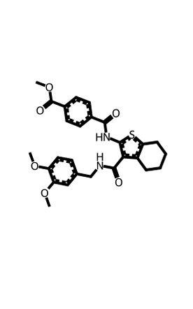 COC(=O)c1ccc(C(=O)Nc2sc3c(c2C(=O)NCc2ccc(OC)c(OC)c2)CCCC3)cc1